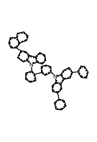 c1ccc(-c2ccc3c(c2)c2cc(-c4ccccc4)ccc2n3-c2cccc(-c3ccccc3-n3c4ccccc4c4cc(-c5cccc6ccccc56)ccc43)c2)cc1